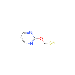 SCOc1n[c]ccn1